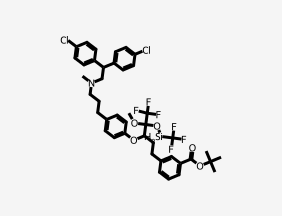 COC(O[SiH2]C(F)(F)F)(C(CCc1cccc(C(=O)OC(C)(C)C)c1)Oc1ccc(CCCN(C)CC(c2ccc(Cl)cc2)c2ccc(Cl)cc2)cc1)C(F)(F)F